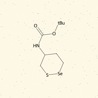 CC(C)(C)OC(=O)NC1CC[Se]SC1